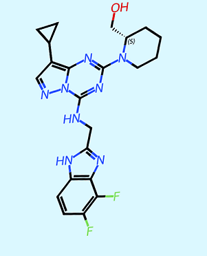 OC[C@@H]1CCCCN1c1nc(NCc2nc3c(F)c(F)ccc3[nH]2)n2ncc(C3CC3)c2n1